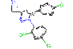 NCC1=NN(c2ccc(Cl)cc2Cl)[C@H](c2ccc(Cl)cc2)C1